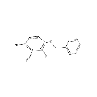 Fc1c(Br)ccc(OCc2ccccc2)c1F